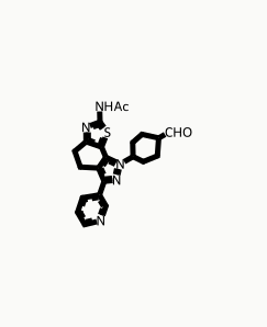 CC(=O)Nc1nc2c(s1)-c1c(c(-c3cccnc3)nn1C1CCC(C=O)CC1)CC2